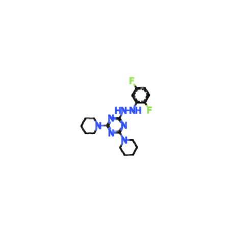 Fc1ccc(F)c(NNc2nc(N3CCCCC3)nc(N3CCCCC3)n2)c1